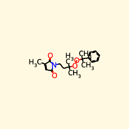 CC1=CC(=O)N(CCC(C)(C)OOC(C)(C)c2ccccc2)C1=O